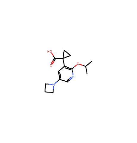 CC(C)Oc1ncc(N2CCC2)cc1C1(C(=O)O)CC1